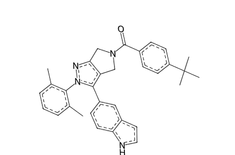 Cc1cccc(C)c1-n1nc2c(c1-c1ccc3[nH]ccc3c1)CN(C(=O)c1ccc(C(C)(C)C)cc1)C2